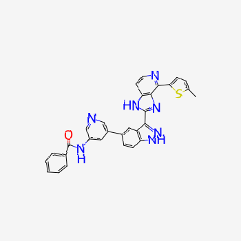 Cc1ccc(-c2nccc3[nH]c(-c4n[nH]c5ccc(-c6cncc(NC(=O)c7ccccc7)c6)cc45)nc23)s1